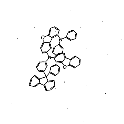 c1ccc(N(c2ccccc2)c2cccc3oc4ccc(N(c5cccc(C6(c7ccccc7)c7ccccc7-c7ccccc76)c5)c5ccc6c(c5)oc5ccccc56)cc4c23)cc1